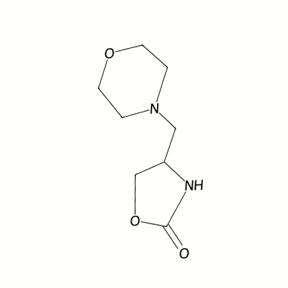 O=C1NC(CN2CCOCC2)CO1